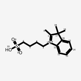 CC1=[N+](CCCCS(=O)(=O)O)c2ccccc2C1(C)C